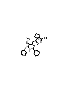 CON=C(CCC(=O)N1CCC[C@H]1C(=O)O)[C@@H](Cc1ccccc1)NC(=O)c1ccccc1